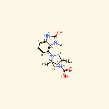 Cn1c(=O)[nH]c2cccc(N3C[C@H]4C[C@@H]3CN4C(=O)O)c21